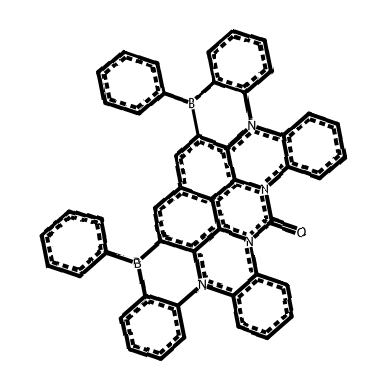 O=c1n2c3ccccc3n3c4c(cc5cc6c7c(c5c42)n1c1ccccc1n7-c1ccccc1B6c1ccccc1)B(c1ccccc1)c1ccccc1-3